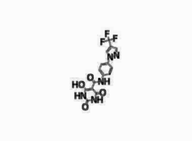 O=C(Nc1ccc(-n2cc(C(F)(F)F)cn2)cc1)c1c(O)[nH]c(=O)[nH]c1=O